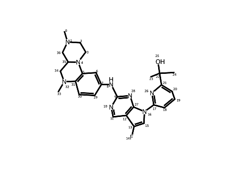 CN1CCN2c3cc(Nc4ncc5c(F)cn(-c6cccc(C(C)(C)O)n6)c5n4)ccc3N(C)CC2C1